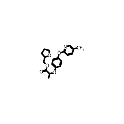 CC(Oc1ccc(Oc2ccc(C(F)(F)F)cn2)cc1)C(=O)OCC1CCCO1